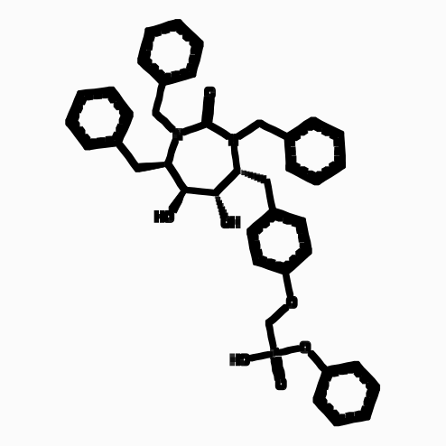 O=C1N(Cc2ccccc2)[C@H](Cc2ccccc2)[C@H](O)[C@@H](O)[C@@H](Cc2ccc(OCP(=O)(O)Oc3ccccc3)cc2)N1Cc1ccccc1